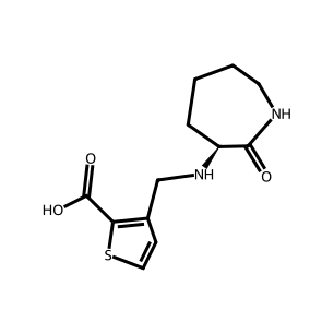 O=C(O)c1sccc1CN[C@H]1CCCCNC1=O